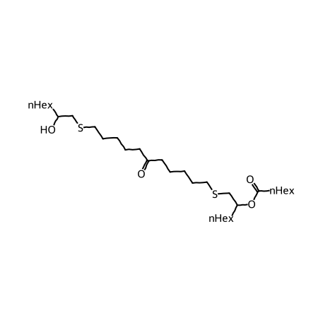 CCCCCCC(=O)OC(CCCCCC)CSCCCCCC(=O)CCCCCSCC(O)CCCCCC